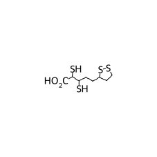 O=C(O)C(S)C(S)CCC1CCSS1